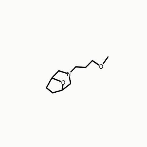 COCCCN1CC2CCC(C1)O2